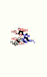 CC(C)(O)C(C)(C)O.Nc1ncnc2c1ncn2[C@@H]1O[C@H](CO)[C@@H](O)[C@H]1O.[Co]